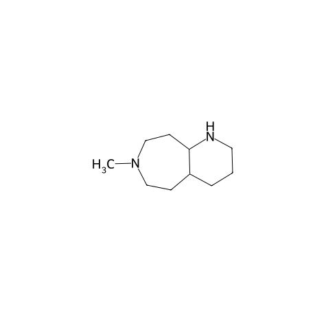 CN1CCC2CCCNC2CC1